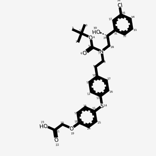 CC(C)(C)OC(=O)N(CCc1ccc(Sc2ccc(OCC(=O)O)cc2)cc1)C[C@H](O)c1cccc(Cl)c1